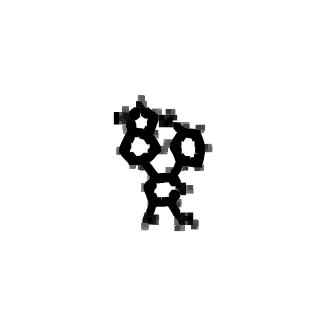 CC(=O)c1cc(-c2ccc3[nH]ncc3c2)c(-c2cccc(C#N)c2)nc1N